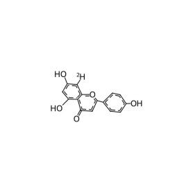 [2H]c1c(O)cc(O)c2c(=O)cc(-c3ccc(O)cc3)oc12